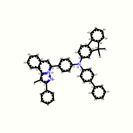 Cc1c(-c2ccccc2)nn2c(-c3ccc(N(c4ccc(-c5ccccc5)cc4)c4ccc5c(c4)C(C)(C)c4ccccc4-5)cc3)cc3ccccc3c12